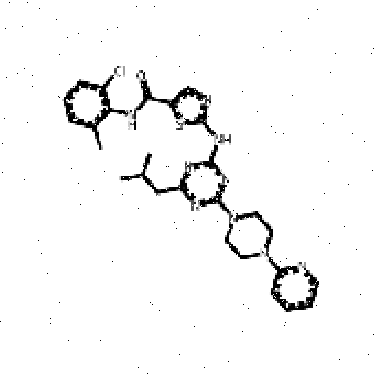 Cc1cccc(Cl)c1NC(=O)c1cnc(Nc2nc(CC(C)C)nc(N3CCN(c4ccccn4)CC3)n2)s1